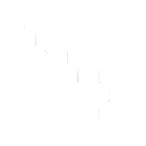 CC(C)(C)OC(=O)ON1CCN(C2CCN(CCF)CC2)CC1